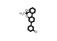 CC1(C)Oc2cc(-c3cccc(Cl)c3)ccc2-c2ccccc21